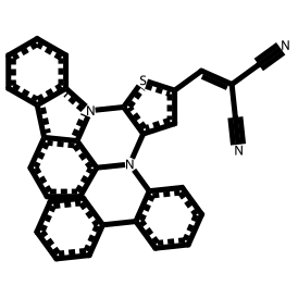 N#CC(C#N)=Cc1cc2c(s1)-n1c3ccccc3c3cccc(c31)N2c1ccccc1-c1ccccc1